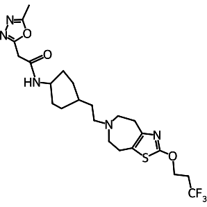 Cc1nnc(CC(=O)NC2CCC(CCN3CCc4nc(OCCC(F)(F)F)sc4CC3)CC2)o1